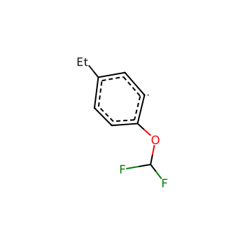 CCc1c[c]c(OC(F)F)cc1